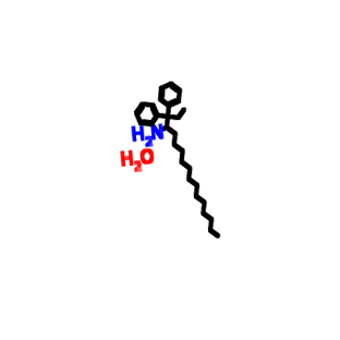 CCCCCCCCCCCCCC(N)C(CC)(c1ccccc1)c1ccccc1.O